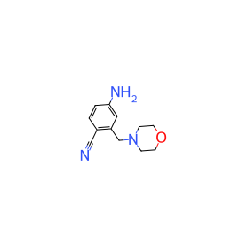 N#Cc1ccc(N)cc1CN1CCOCC1